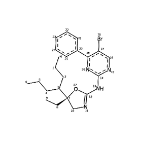 CCCC(CCC)[C@@]1(CC)CN=C(Nc2ncc(Br)c(-c3ccccc3)n2)O1